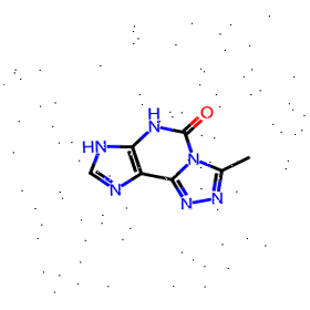 Cc1nnc2c3nc[nH]c3[nH]c(=O)n12